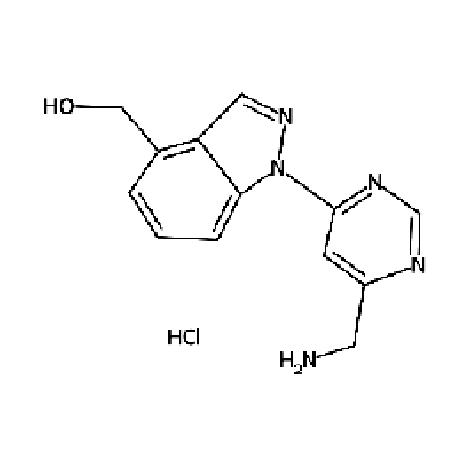 Cl.NCc1cc(-n2ncc3c(CO)cccc32)ncn1